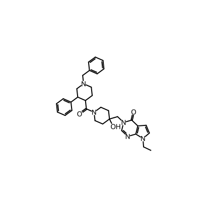 CCn1ccc2c(=O)n(CC3(O)CCN(C(=O)C4CCN(Cc5ccccc5)CC4c4ccccc4)CC3)cnc21